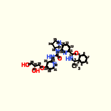 O=C(N[C@H](c1ccccc1)C(F)(F)F)c1ccc2c(n1)N(C(=O)Nc1cc(OC[C@H](O)CO)ccn1)C1CCN2C1